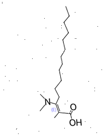 CCCCCCCCCCCC/C(=C(/C)C(=O)O)N(C)C